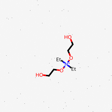 CC[N+](CC)(OCCO)OCCO